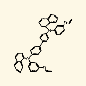 C=COc1cccc(N(c2ccc(-c3ccc(N(c4cccc(OC=C)c4)c4cccc5ccccc45)cc3)cc2)c2cccc3ccccc23)c1